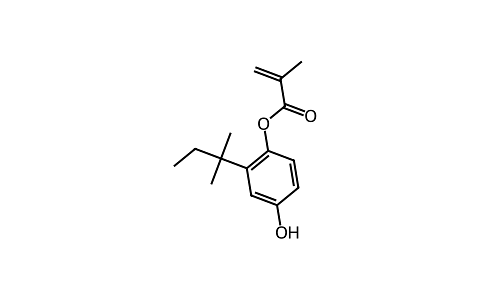 C=C(C)C(=O)Oc1ccc(O)cc1C(C)(C)CC